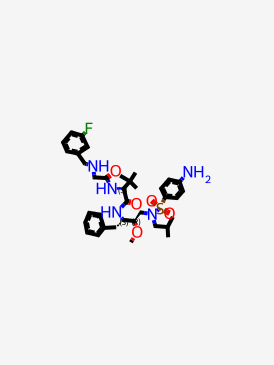 CO[C@H](CN(CC(C)C)S(=O)(=O)c1ccc(N)cc1)[C@H](Cc1ccccc1)NC(=O)[C@@H](NC(=O)CNCc1cccc(F)c1)C(C)(C)C